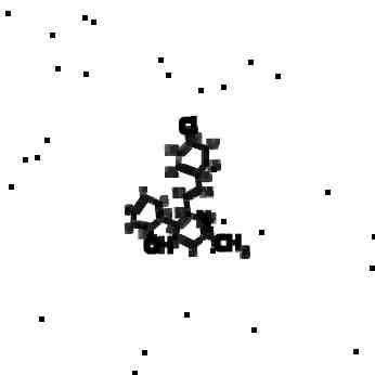 Cc1ccc(-c2ccccc2O)c(C=Cc2ccc(Cl)cc2)n1